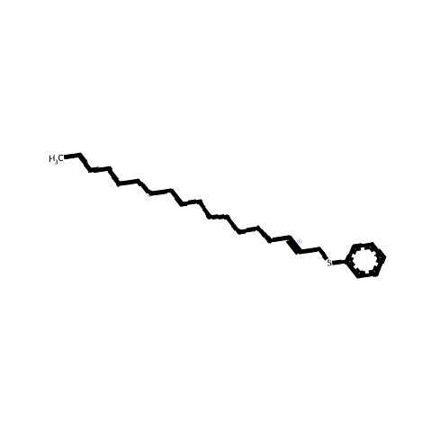 CCCCCCCCCCCCCCC/C=C/CSc1ccccc1